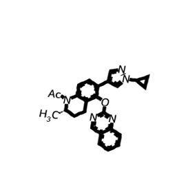 CC(=O)N1c2ccc(-c3cnn(C4CC4)c3)c(Oc3ncc4ccccc4n3)c2CC[C@@H]1C